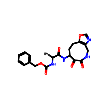 CC(C)C(NC(=O)OCc1ccccc1)C(=O)NC1CCc2ocnc2CNC(=O)C1=O